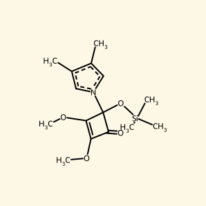 COC1=C(OC)C(O[Si](C)(C)C)(n2cc(C)c(C)c2)C1=O